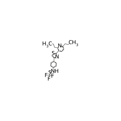 CCCc1ccc(-c2nc(-c3ccc(NSC(F)(F)F)cc3)cs2)c(CCC)n1